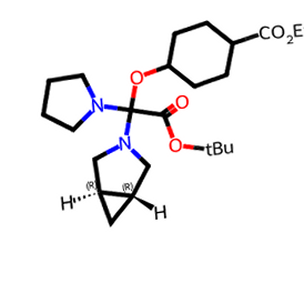 CCOC(=O)C1CCC(OC(C(=O)OC(C)(C)C)(N2CCCC2)N2C[C@@H]3C[C@H]3C2)CC1